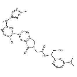 CN(C)c1cccc(C(CO)NC(=O)CN2Cc3ccc(-c4nc(Nc5cnn(C)n5)ncc4Cl)cc3C2=O)n1